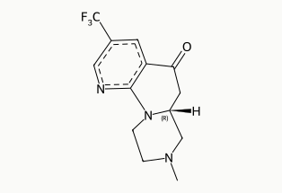 CN1CCN2c3ncc(C(F)(F)F)cc3C(=O)C[C@@H]2C1